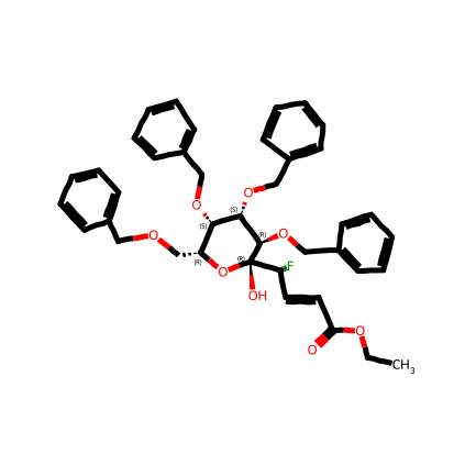 CCOC(=O)C=CC(F)[C@]1(O)O[C@H](COCc2ccccc2)[C@H](OCc2ccccc2)[C@H](OCc2ccccc2)[C@H]1OCc1ccccc1